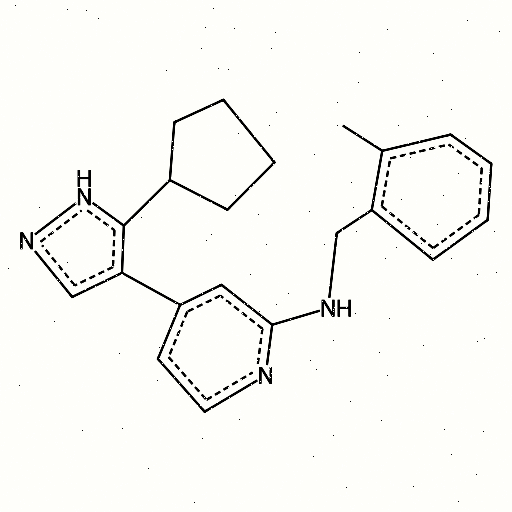 Cc1ccccc1CNc1cc(-c2cn[nH]c2C2CCCC2)ccn1